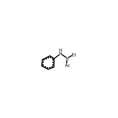 CCN(Nc1ccccc1)C(C)=O